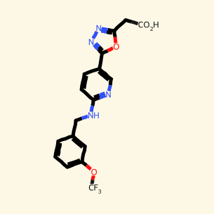 O=C(O)Cc1nnc(-c2ccc(NCc3cccc(OC(F)(F)F)c3)nc2)o1